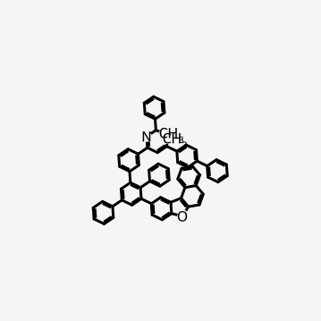 C/C(=C\C(=N/C(C)c1ccccc1)c1cccc(-c2cc(-c3ccccc3)cc(-c3ccc4oc5ccc6ccccc6c5c4c3)c2-c2ccccc2)c1)c1ccc(-c2ccccc2)cc1